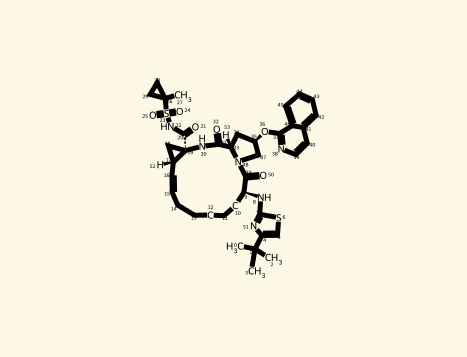 CC(C)(C)c1csc(N[C@H]2CCCCC/C=C\[C@@H]3C[C@@]3(C(=O)NS(=O)(=O)C3(C)CC3)NC(=O)[C@@H]3C[C@@H](Oc4nccc5ccccc45)CN3C2=O)n1